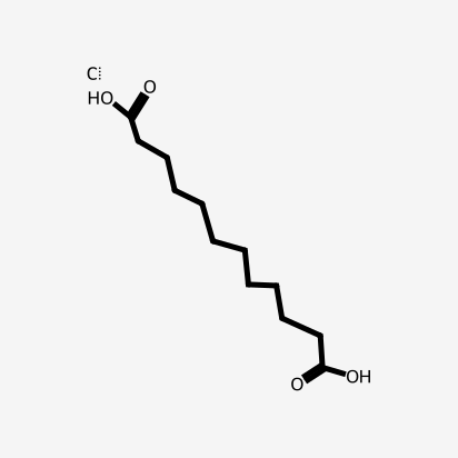 O=C(O)CCCCCCCCCCC(=O)O.[C]